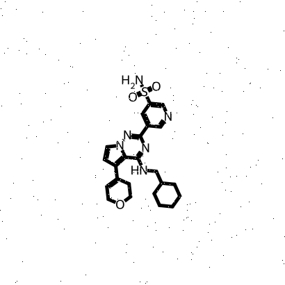 NS(=O)(=O)c1cncc(-c2nc(NCC3CCCCC3)c3c(C4=CCOCC4)ccn3n2)c1